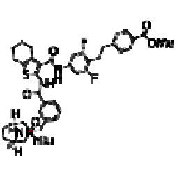 CCCCC(=O)N1[C@@H]2CC[C@H]1CN(Cc1cccc(C(=O)Nc3sc4c(c3C(=O)Nc3cc(F)c(CCc5ccc(C(=O)OC)cc5)c(F)c3)CCCC4)c1)C2